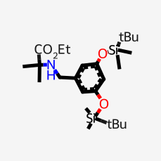 CCOC(=O)C(C)(C)NCc1cc(O[Si](C)(C)C(C)(C)C)cc(O[Si](C)(C)C(C)(C)C)c1